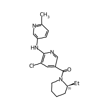 CC[C@H]1CCCCN1C(=O)c1cnc(Nc2ccc(C)nc2)c(Cl)c1